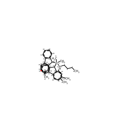 CCC[CH2][SnH]([CH2]CCC)[Zr]([CH3])([CH3])([CH]1c2ccccc2-c2ccc(C)cc21)[CH]1c2ccccc2-c2ccc(C)cc21